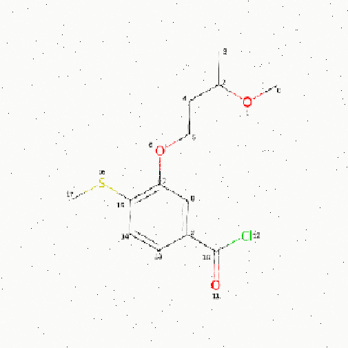 COC(C)CCOc1cc(C(=O)Cl)ccc1SC